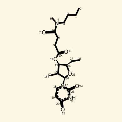 CCCCN(C)C(=O)CCC(=O)O[C@@H]1C(F)[C@H](n2ccc(=O)[nH]c2=O)O[C@@H]1CC